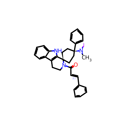 CN(I)[C@]1(c2ccccc2)CC[C@]2(CC1)c1[nH]c3ccccc3c1CCN2C(=O)/C=C/c1ccccc1